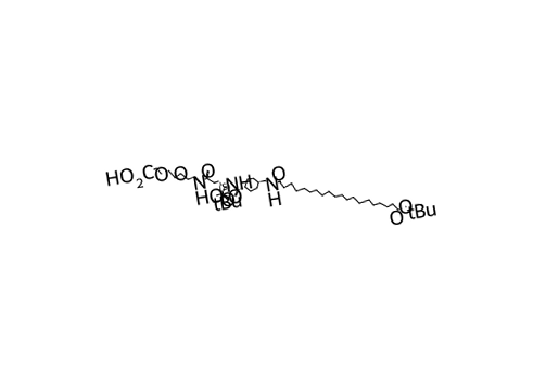 CC(C)(C)OC(=O)CCCCCCCCCCCCCCCCCCC(=O)NC[C@H]1CC[C@H](C(=O)N[C@@H](CCC(=O)NCCOCCOCC(=O)O)C(=O)OC(C)(C)C)CC1